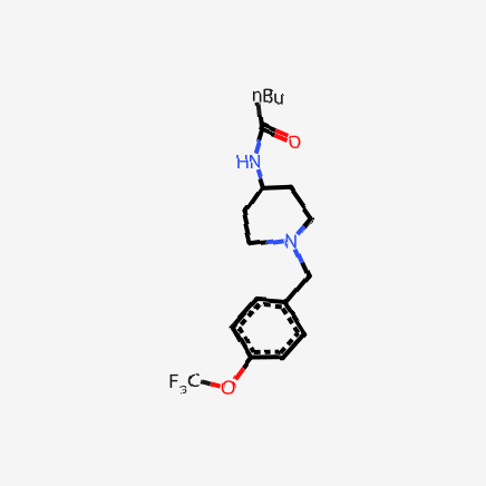 CCCCC(=O)NC1CCN(Cc2ccc(OC(F)(F)F)cc2)CC1